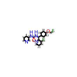 O=C(Nc1cccnc1)N[C@@H](c1ccc(OCF)cc1)c1ncccc1F